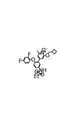 CCS(=O)(=O)Nc1ccc(Oc2ccc(F)cc2F)c(-c2cc(C)[n+]([O-])c(OCC3CCC3)c2)c1